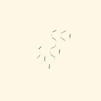 O=C(O)c1c[nH]c2c(=O)[nH]c3ccc(-c4cccc5ccccc45)cc3c12